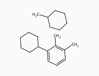 CC1CCCCC1.Cc1cccc(C2CCCCC2)c1C